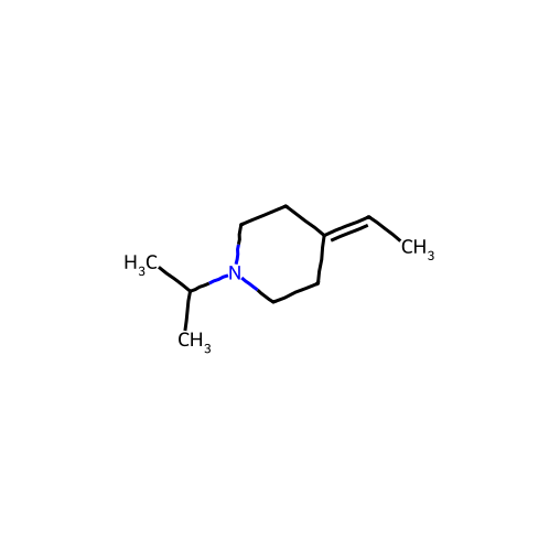 CC=C1CCN(C(C)C)CC1